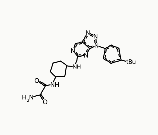 CC(C)(C)c1ccc(-n2nnc3cnc(NC4CCCC(NC(=O)C(N)=O)C4)nc32)cc1